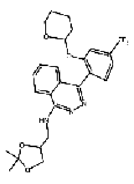 CC1(C)OCC(CNc2nnc(-c3ccc(C(F)(F)F)cc3OC3CCCCO3)c3ccccc23)O1